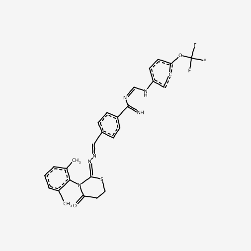 Cc1cccc(C)c1N1C(=O)CCS/C1=N\N=C\c1ccc(C(=N)/N=C\Nc2ccc(OC(F)(F)F)cc2)cc1